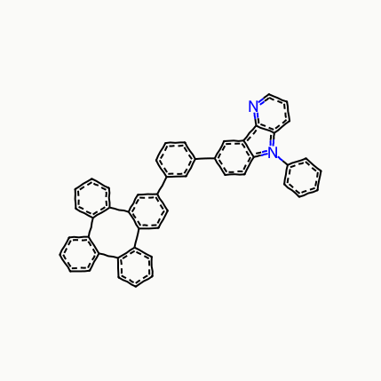 c1ccc(-n2c3ccc(-c4cccc(-c5ccc6c(c5)-c5ccccc5-c5ccccc5-c5ccccc5-6)c4)cc3c3ncccc32)cc1